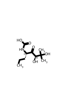 CCC[C@H](NC(=O)O)C(=O)[C@H](O)C(C)(C)O